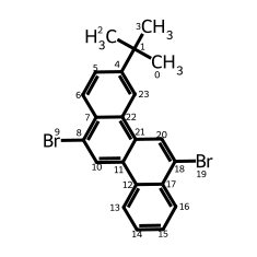 CC(C)(C)c1ccc2c(Br)cc3c4ccccc4c(Br)cc3c2c1